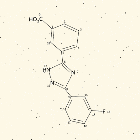 O=C(O)c1cccc(-c2nc(-c3cccc(F)c3)n[nH]2)c1